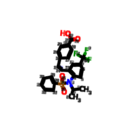 CC(C)N(c1ccc(C(F)(F)F)cc1/C=C\c1ccc(C(=O)O)cc1)S(=O)(=O)c1ccccc1